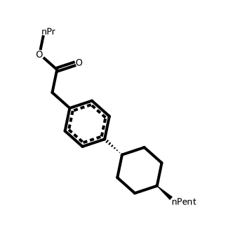 CCCCC[C@H]1CC[C@H](c2ccc(CC(=O)OCCC)cc2)CC1